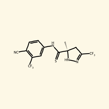 C[C@]1(C(=S)Nc2ccc(C#N)c(C(F)(F)F)c2)CC(C(F)(F)F)=NN1